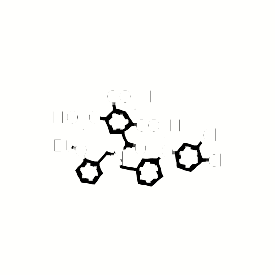 CCOc1ccccc1CN(Cc1cccc(Oc2ccc(Cl)c(Cl)c2)c1)C(=O)c1cc(C(=O)O)c(C(=O)O)cc1C(=O)O